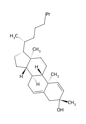 CC(C)CCC[C@@H](C)[C@H]1CC[C@H]2[C@@H]3CC=C4C[C@@](C)(O)C=C[C@]4(C)[C@H]3CC[C@]12C